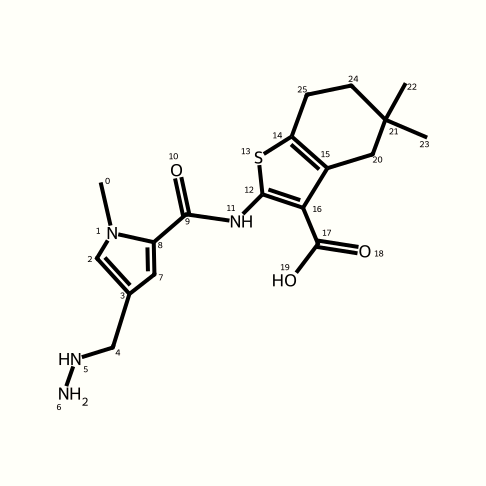 Cn1cc(CNN)cc1C(=O)Nc1sc2c(c1C(=O)O)CC(C)(C)CC2